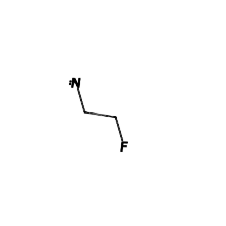 [N]CCF